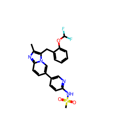 Cc1nc2ccc(-c3ccc(NS(C)(=O)=O)nc3)cn2c1Cc1ccccc1OC(F)F